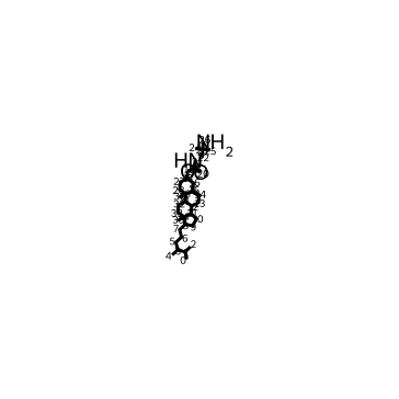 CC(C)C(C)CCCC1CCC2C3CC=C4CC(OC(=O)NCC(C)(C)N)CCC4(C)C3CCC12C